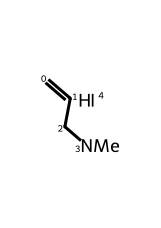 C=CCNC.I